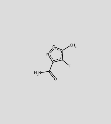 Cc1onc(C(N)=O)c1F